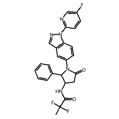 CC(F)(F)C(=O)NC1CC(=O)N(c2ccc3c(cnn3-c3ccc(F)cn3)c2)C1c1ccccc1